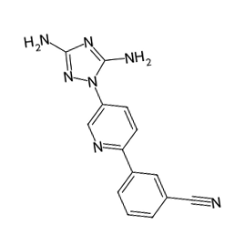 N#Cc1cccc(-c2ccc(-n3nc(N)nc3N)cn2)c1